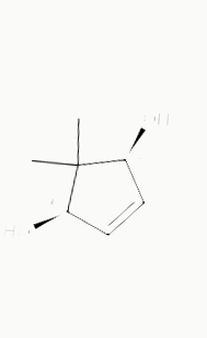 CC1(C)[C@H](O)C=C[C@@H]1O